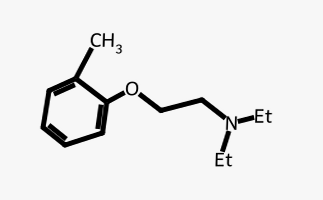 CCN(CC)CCOc1ccccc1C